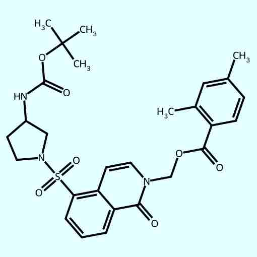 Cc1ccc(C(=O)OCn2ccc3c(S(=O)(=O)N4CCC(NC(=O)OC(C)(C)C)C4)cccc3c2=O)c(C)c1